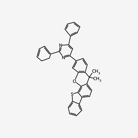 CC1(C)c2ccc(-c3cc(-c4ccccc4)nc(C4=CC=CCC4)n3)cc2Oc2c1ccc1c2sc2ccccc21